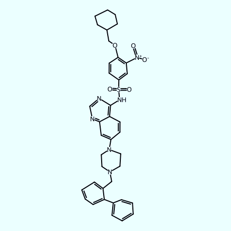 O=[N+]([O-])c1cc(S(=O)(=O)Nc2ncnc3cc(N4CCN(Cc5ccccc5-c5ccccc5)CC4)ccc23)ccc1OCC1CCCCC1